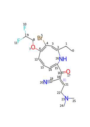 CCc1cc(Br)c(OCC(F)F)cccc(C(=O)/C(C#N)=C/CN(C)C)[nH]1